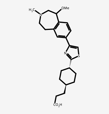 COC1CN(C)CCc2cc(-c3csc([C@H]4CC[C@H](CCC(=O)O)CC4)n3)ccc21